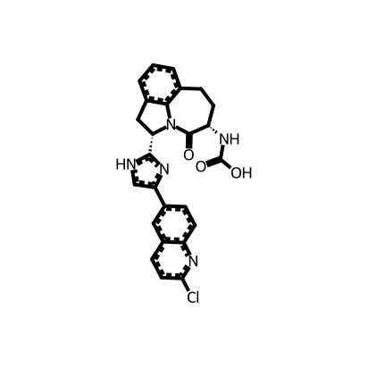 O=C(O)N[C@H]1CCc2cccc3c2N(C1=O)[C@H](c1nc(-c2ccc4nc(Cl)ccc4c2)c[nH]1)C3